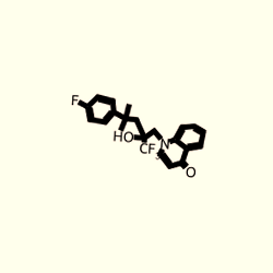 CC(C)(CC(O)(Cn1ccc(=O)c2ccccc21)C(F)(F)F)c1ccc(F)cc1